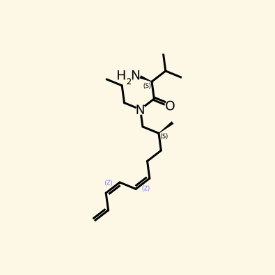 C=C/C=C\C=C/CC[C@H](C)CN(CCC)C(=O)[C@@H](N)C(C)C